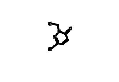 O=c1ccc(Cl)nn1CCl